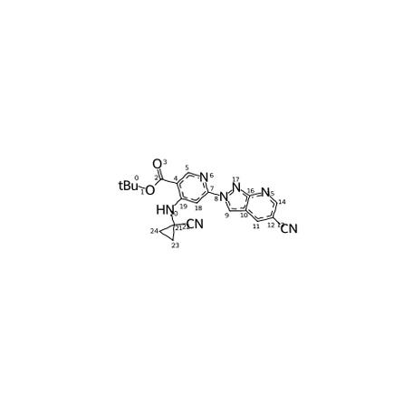 CC(C)(C)OC(=O)c1cnc(-n2cc3cc(C#N)cnc3n2)cc1NC1(C#N)CC1